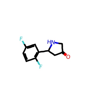 O=C1CNC(c2cc(F)ccc2F)C1